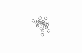 O=C(CCC(NP(=O)(OCc1ccccc1)OCC(NC(=O)c1ccccc1)C(=O)OCc1ccccc1)C(=O)OCc1ccccc1)OCc1ccccc1